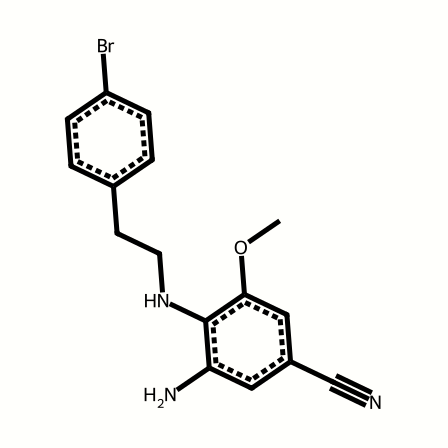 COc1cc(C#N)cc(N)c1NCCc1ccc(Br)cc1